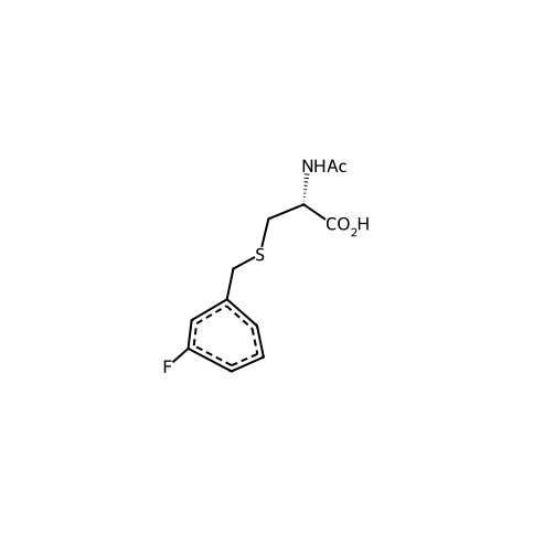 CC(=O)N[C@@H](CSCc1cccc(F)c1)C(=O)O